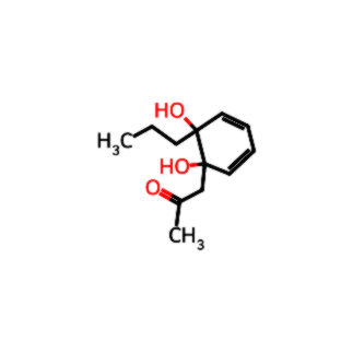 CCCC1(O)C=CC=CC1(O)CC(C)=O